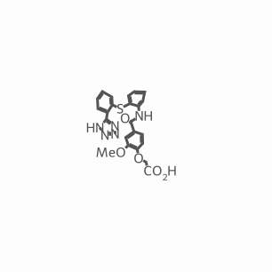 COc1cc(C(=O)Nc2ccccc2Sc2ccccc2-c2nnn[nH]2)ccc1OCC(=O)O